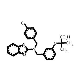 CC(C)(Oc1cccc(CN(Cc2ccc(Cl)cc2)c2nc3ccccc3o2)c1)C(=O)O